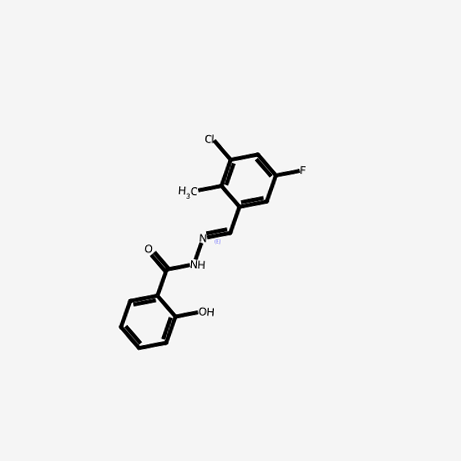 Cc1c(Cl)cc(F)cc1/C=N/NC(=O)c1ccccc1O